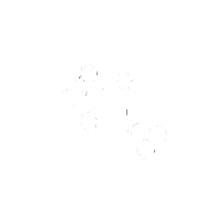 C=CC(=O)N(CCOc1ccc(C[C@H](Nc2ccccc2C(=O)c2ccccc2)C(=O)OC)cc1)c1cccc2ccccc12